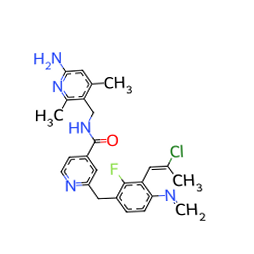 C=Nc1ccc(Cc2cc(C(=O)NCc3c(C)cc(N)nc3C)ccn2)c(F)c1/C=C(\C)Cl